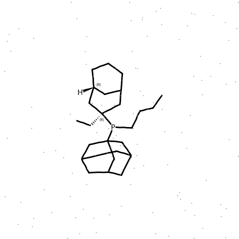 CCCCP(C12CC3CC(CC(C3)C1)C2)[C@]1(CC)CC2CCC[C@H](C2)C1